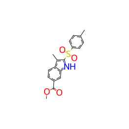 COC(=O)c1ccc2c(C)c(S(=O)(=O)c3ccc(C)cc3)[nH]c2c1